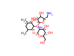 CC1C[C@@H](C)[C@@H](O)C(O[C@@H]2O[C@H](CN)C(O)[C@@H]2O)[C@@H]1O[C@H]1OC(CO)[C@@H](O)[C@H](O)C1N